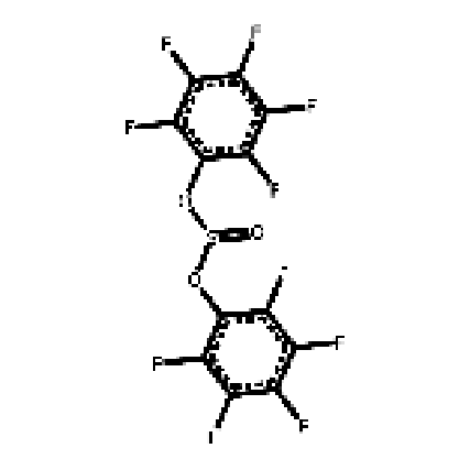 O=S(Oc1c(F)c(F)c(F)c(F)c1F)Oc1c(F)c(F)c(F)c(F)c1F